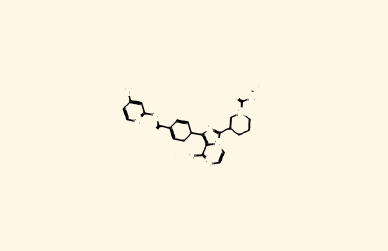 CCNC(=O)N1CCCC(c2nc(C3C=CC(C(=O)Nc4cc(N)ccn4)=CC3)c3c(N)nccn23)C1